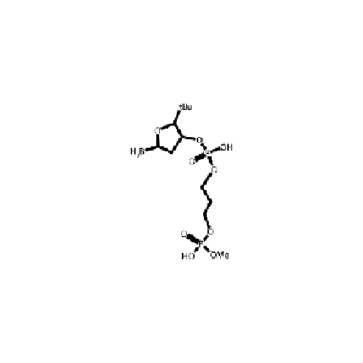 BC1CC(OP(=O)(O)OCCCOP(=O)(O)OC)C(C(C)(C)C)O1